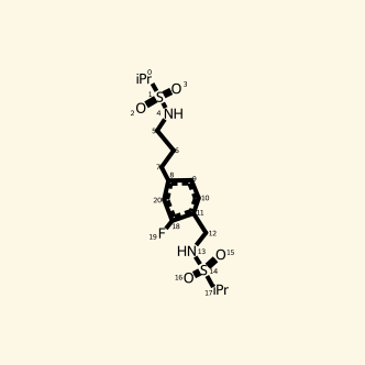 CC(C)S(=O)(=O)NCCCc1ccc(CNS(=O)(=O)C(C)C)c(F)c1